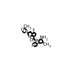 CC1CN(c2cnc3c(C(=O)Nc4cnccc4[C@@H]4C[C@H](C)C[C@H](N)C4)ccc(F)c3c2)CCO1